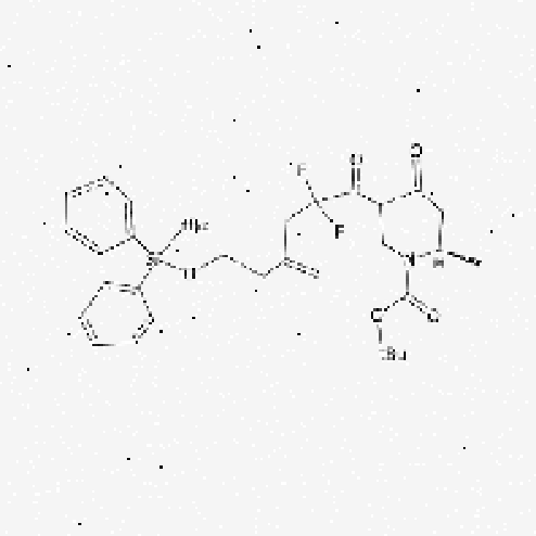 C=C(CCO[Si](c1ccccc1)(c1ccccc1)C(C)(C)C)CC(F)(F)C(=O)C1CN(C(=O)OC(C)(C)C)[C@H](C)CC1=O